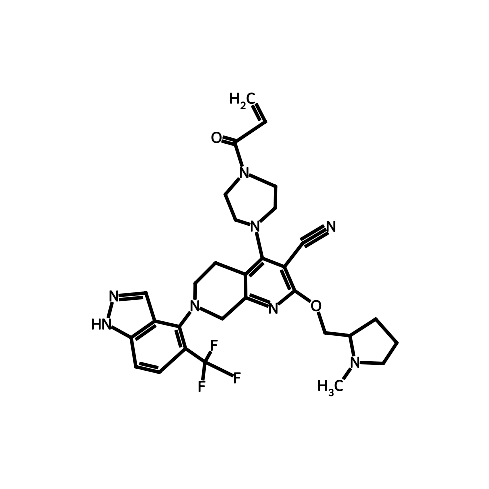 C=CC(=O)N1CCN(c2c(C#N)c(OCC3CCCN3C)nc3c2CCN(c2c(C(F)(F)F)ccc4[nH]ncc24)C3)CC1